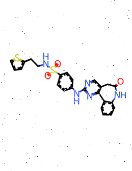 O=C1Cc2cnc(Nc3ccc(S(=O)(=O)NCCc4cccs4)cc3)nc2-c2ccccc2N1